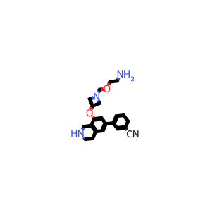 N#CC1=CC(c2cc3c(c(OC4CN(COCCN)C4)c2)CNCC3)=CCC1